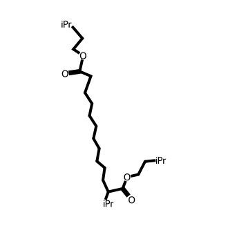 CC(C)CCOC(=O)CCCCCCCCCCC(C(=O)OCCC(C)C)C(C)C